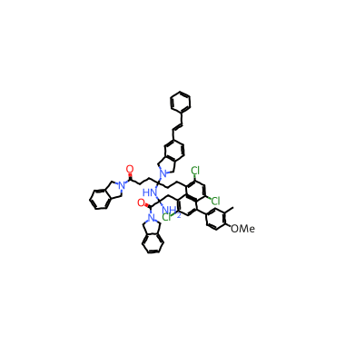 COc1ccc(-c2ccc(C[C@@](N)(NC(CCC(=O)N3Cc4ccccc4C3)(CCc3ccc(Cl)cc3Cl)N3Cc4ccc(/C=C/c5ccccc5)cc4C3)C(=O)N3Cc4ccccc4C3)c(Cl)c2)cc1C